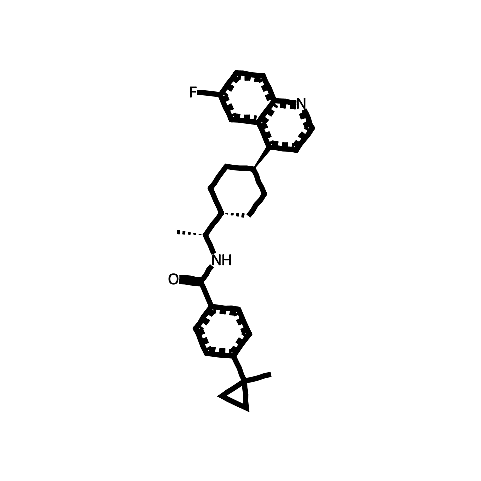 C[C@@H](NC(=O)c1ccc(C2(C)CC2)cc1)[C@H]1CC[C@H](c2ccnc3ccc(F)cc32)CC1